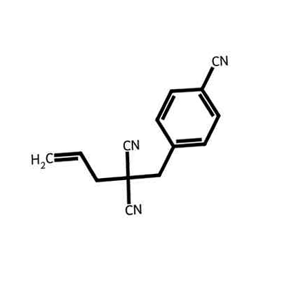 C=CCC(C#N)(C#N)Cc1ccc(C#N)cc1